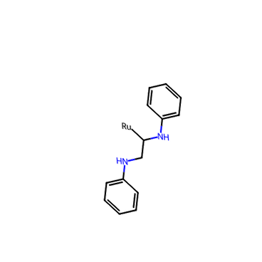 [Ru][CH](CNc1ccccc1)Nc1ccccc1